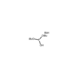 CC(C)COP(O)OCC(C)C.[RbH]